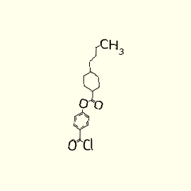 CCCCC1CCC(C(=O)Oc2ccc(C(=O)Cl)cc2)CC1